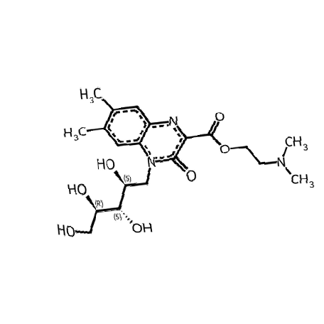 Cc1cc2nc(C(=O)OCCN(C)C)c(=O)n(C[C@H](O)[C@H](O)[C@H](O)CO)c2cc1C